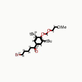 COCCOCOc1c(C(C)(C)C)cc(C(=O)CCCCBr)cc1C(C)(C)C